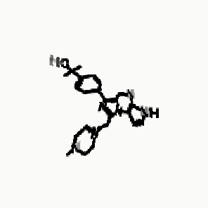 CN1CCN(Cc2nc(-c3ccc(C(C)(C)O)cc3)c3cnc4[nH]ccc4n23)CC1